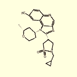 C[C@@H]1C[C@H](n2c([C@@H]3CN(CC4CC4)S(=O)(=O)C3)nc3cnc4ccc(C#N)cc4c32)CCO1